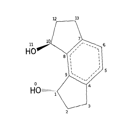 O[C@H]1CCc2ccc3c(c21)[C@@H](O)CC3